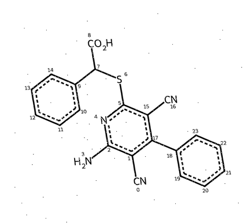 N#Cc1c(N)nc(SC(C(=O)O)c2ccccc2)c(C#N)c1-c1ccccc1